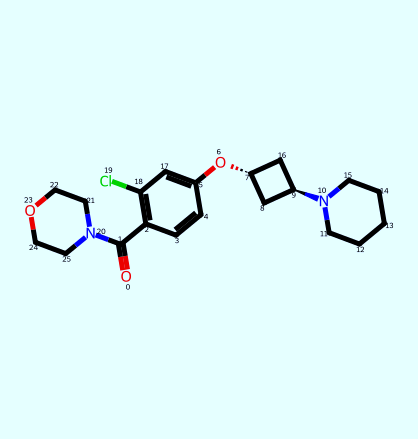 O=C(c1ccc(O[C@H]2C[C@H](N3CCCCC3)C2)cc1Cl)N1CCOCC1